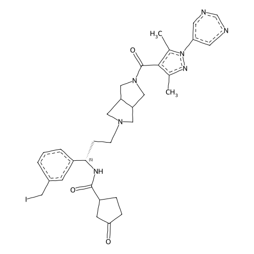 Cc1nn(-c2cncnc2)c(C)c1C(=O)N1CC2CN(CC[C@H](NC(=O)C3CCC(=O)C3)c3cccc(CI)c3)CC2C1